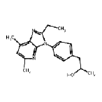 CCc1nc2c(C)cc(C)nc2n1-c1ccc(CC(C)O)cc1